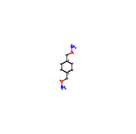 NOCC1CCC(CON)CC1